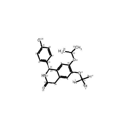 [2H]C([2H])([2H])Oc1cc2c(cc1OC(C)C)[C@H](c1ccc(Cl)cc1)NC(=O)C2